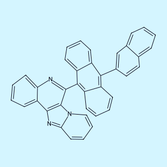 c1ccc2cc(-c3c4ccccc4c(-c4nc5ccccc5c5nc6ccccn6c45)c4ccccc34)ccc2c1